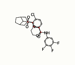 O=C(Nc1cc(F)c(F)c(F)c1)c1ccc(Cl)c(S(=O)(=O)C2C3CCC2CC(CN2CCOCC2)C3)c1